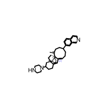 C[C@H]1CCC(c2ccc3ccncc3c2)CC/C=C2/C=C3CCC(N4CCNCC4)C[C@]34CC[C@@]21O4